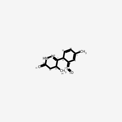 CC1=CC(=S=O)C(C2=NNC(=O)CC2C)C=C1